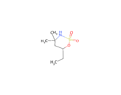 CCC1CC(C)(C)NS(=O)(=O)O1